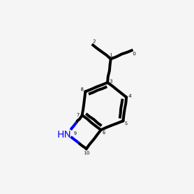 CC(C)c1ccc2c(c1)NC2